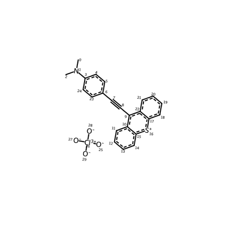 CN(C)c1ccc(C#Cc2c3ccccc3[s+]c3ccccc23)cc1.[O-][Cl+3]([O-])([O-])[O-]